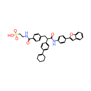 O=C(NCCS(=O)(=O)O)c1ccc(CC(C(=O)Nc2ccc(-c3cc4ccccc4o3)cc2)c2ccc(C3=CCCCC3)cc2)cc1